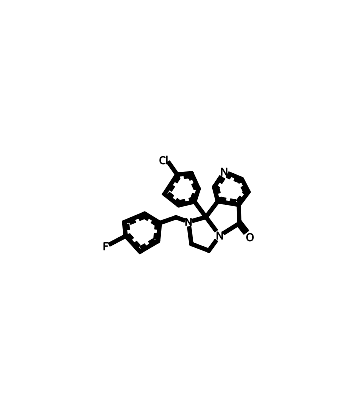 O=C1c2ccncc2C2(c3ccc(Cl)cc3)N(Cc3ccc(F)cc3)CCN12